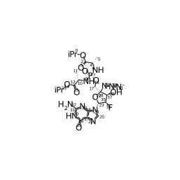 CC(C)OC(=O)[C@H](C)NP(=O)(N[C@@H](C)C(=O)OC(C)C)OC[C@@]1(N=[N+]=[N-])O[C@@H](n2cnc3c(=O)[nH]c(N)nc32)[C@H](F)[C@@H]1O